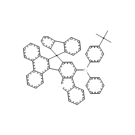 CC(C)(C)c1ccc(N(c2ccccc2)c2cc3c(c4oc5ccccc5c24)-c2c(c4ccccc4c4ccccc24)C32c3ccccc3-c3ccccc32)cc1